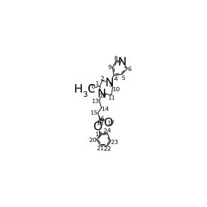 CC1CN(c2ccncc2)CCN1CCCC(=O)Oc1ccccc1